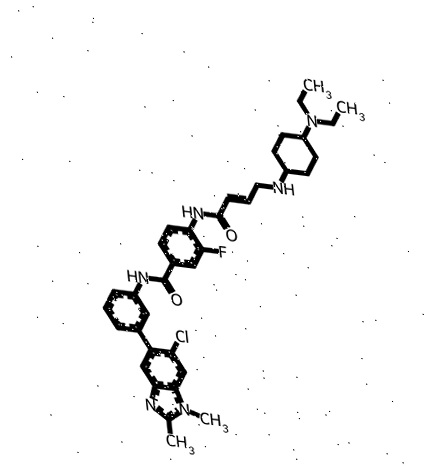 CCN(CC)C1CCC(NC/C=C/C(=O)Nc2ccc(C(=O)Nc3cccc(-c4cc5nc(C)n(C)c5cc4Cl)c3)cc2F)CC1